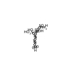 Cc1cc(N=Nc2ccc(N=Nc3c(S(=O)(=O)O)cc4cc(S(=O)(=O)O)c(N)cc4c3O)c3cc(S(=O)(=O)O)ccc23)ccc1N=Nc1ccc2c(c1)C(=O)NC2=O